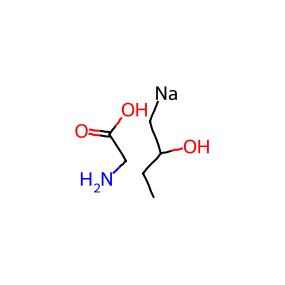 CCC(O)[CH2][Na].NCC(=O)O